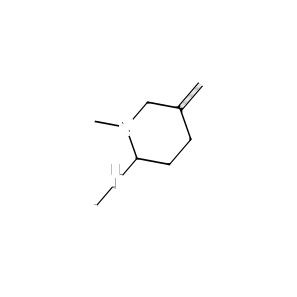 C=C1CCC([IH]I)N(C)C1